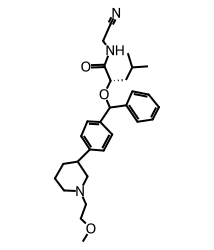 COCCN1CCCC(c2ccc(C(O[C@@H](CC(C)C)C(=O)NCC#N)c3ccccc3)cc2)C1